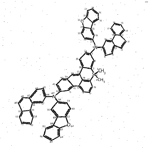 C[Si]1(C)c2cc(N(c3ccc4ccc5ccccc5c4c3)c3ccc4oc5ccccc5c4c3)ccc2-c2cc3ccc(N(c4ccc5ccc6ccccc6c5c4)c4ccc5oc6ccccc6c5c4)cc3c3cccc1c23